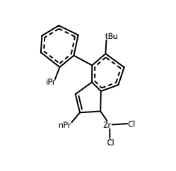 CCCC1=Cc2c(ccc(C(C)(C)C)c2-c2ccccc2C(C)C)[CH]1[Zr]([Cl])[Cl]